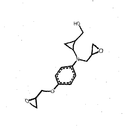 OCC1CC1N(CC1CO1)c1ccc(OCC2CO2)cc1